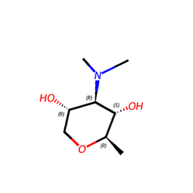 C[C@H]1OC[C@H](O)[C@@H](N(C)C)[C@@H]1O